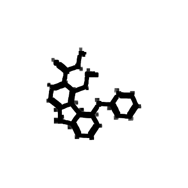 COCc1c(C(=O)OC(C)C)ncc2[nH]c3cccc(Oc4ccccn4)c3c12